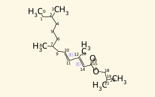 CCC(C)CCCC(C)C/C=C/C(C)=C/C(=O)OCC(C)C